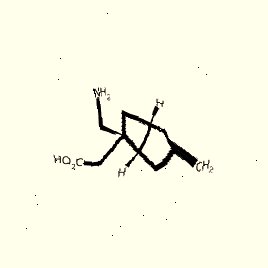 C=C1C[C@H]2C[C@@](CN)(CC(=O)O)[C@H]2C1